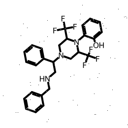 Oc1ccccc1N1C(C(F)(F)F)CN(C(CNCc2ccccc2)c2ccccc2)CC1C(F)(F)F